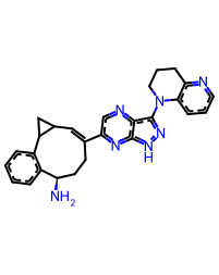 N[C@@H]1CC/C(c2cnc3c(N4CCCc5ncccc54)n[nH]c3n2)=C\C2CC2c2ccccc21